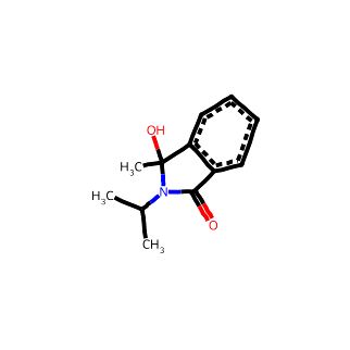 CC(C)N1C(=O)c2ccccc2C1(C)O